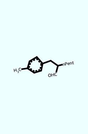 CCCCCC(C=O)Cc1ccc(C)cc1